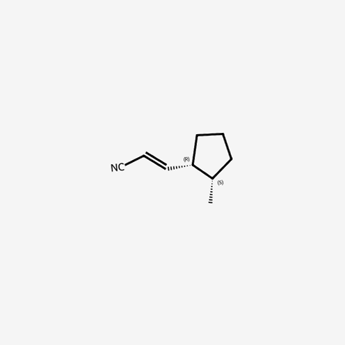 C[C@H]1CCC[C@H]1C=CC#N